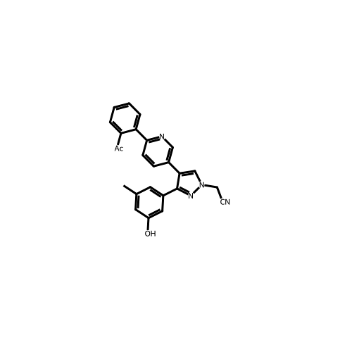 CC(=O)c1ccccc1-c1ccc(-c2cn(CC#N)nc2-c2cc(C)cc(O)c2)cn1